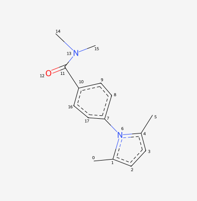 Cc1ccc(C)n1-c1ccc(C(=O)N(C)C)cc1